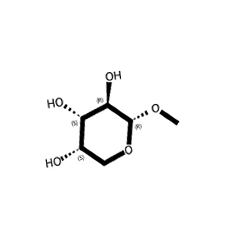 CO[C@@H]1OC[C@H](O)[C@H](O)[C@H]1O